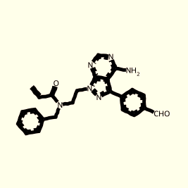 C=CC(=O)N(CCn1nc(-c2ccc(C=O)cc2)c2c(N)ncnc21)Cc1ccccc1